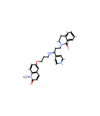 Cn1c(=O)ccc2cc(OCCCNC(CCN3CCc4ccccc4C3=O)c3ccncc3)ccc21